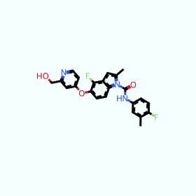 Cc1cc(NC(=O)n2c(C)cc3c(F)c(Oc4ccnc(CO)c4)ccc32)ccc1F